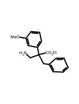 CCOC(=O)C(CN)(Cc1ccccc1)c1cccc(OC)c1